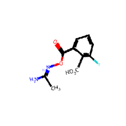 C/C(N)=N\OC(=O)c1cccc(F)c1C(=O)O